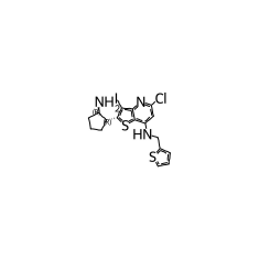 N[C@@H]1CCC[C@H]1c1sc2c(NCc3cccs3)cc(Cl)nc2c1I